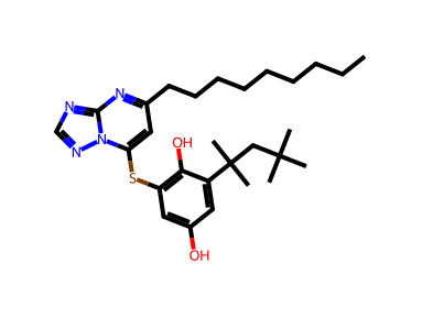 CCCCCCCCCc1cc(Sc2cc(O)cc(C(C)(C)CC(C)(C)C)c2O)n2ncnc2n1